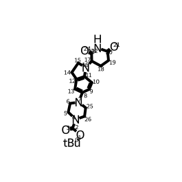 CC(C)(C)OC(=O)N1CCN(c2ccc3c(c2)CCN3C2CCC(=O)NC2=O)CC1